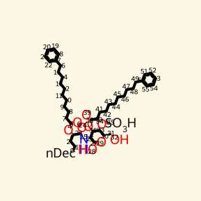 CCCCCCCCCCCCC(OC(=O)CCCCCCCCCCc1ccccc1)C(=O)N[C@H]1C(O)O[C@H](CO)[C@@H](OS(=O)(=O)O)[C@@H]1OC(=O)CCCCCCCCCCc1ccccc1